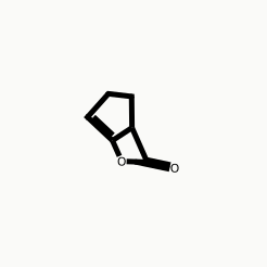 O=C1OC2=CCCC12